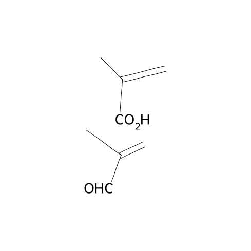 C=C(C)C(=O)O.C=C(C)C=O